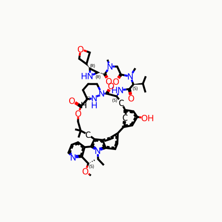 CCn1c(-c2cccnc2[C@H](C)OC)c2c3cc(ccc31)-c1cc(O)cc(c1)C[C@H](NC(=O)[C@H](C(C)C)N(C)C(=O)CN(C)C(=O)[C@@H]1N[C@@H]1C1COC1)C(=O)N1CCC[C@H](N1)C(=O)OCC(C)(C)C2